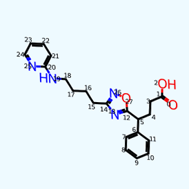 O=C(O)CCC(c1ccccc1)c1nc(CCCCNc2ccccn2)no1